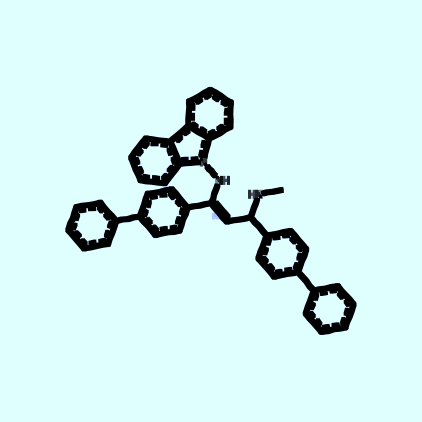 CNC(/C=C(\Nn1c2ccccc2c2ccccc21)c1ccc(-c2ccccc2)cc1)c1ccc(-c2ccccc2)cc1